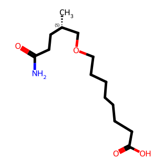 C[C@@H](CCC(N)=O)COCCCCCCCC(=O)O